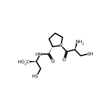 N[C@@H](CS)C(=O)N1CCC[C@H]1C(=O)N[C@@H](CS)C(=O)O